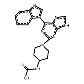 O=C(O)NC1CCN(c2nc(-n3cnc4ccccc43)c3nc[nH]c3n2)CC1